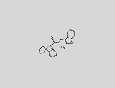 N[C@@H](Cc1c[nH]c2ccccc12)C(=O)NCC1(c2ccccc2)CCCC1